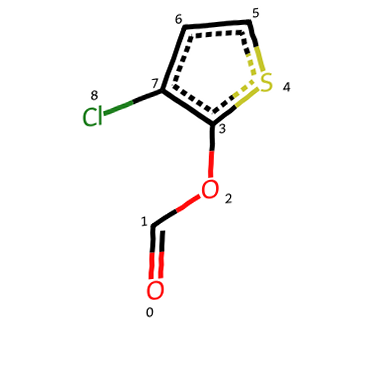 O=COc1sccc1Cl